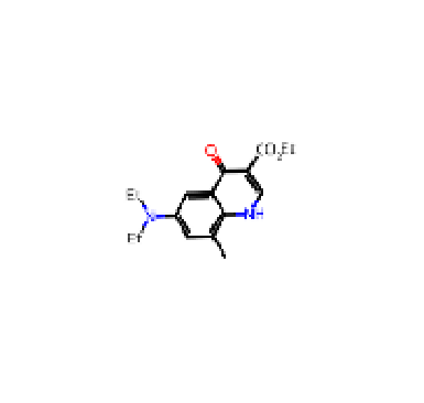 CCOC(=O)c1c[nH]c2c(C)cc(N(CC)CC)cc2c1=O